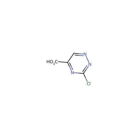 O=C(O)c1cnnc(Cl)n1